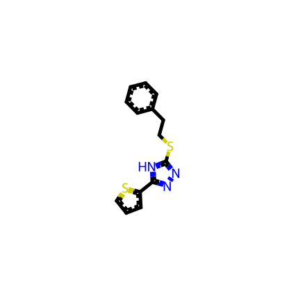 c1ccc(CCSc2nnc(-c3cccs3)[nH]2)cc1